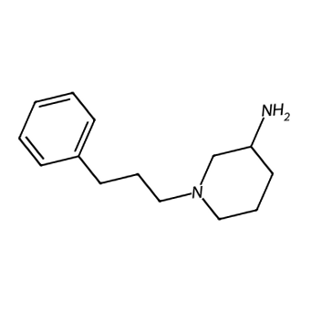 NC1CCCN(CCCc2ccccc2)C1